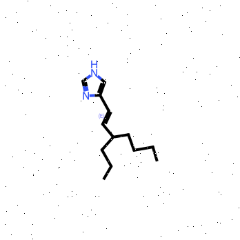 CCCCC(/C=C/c1c[nH]cn1)CCC